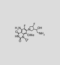 COc1c(N2CC(F)C(C(O)CN)C2)c(F)c(N)c2c(=O)[nH]c(=O)n(C3CC3)c12